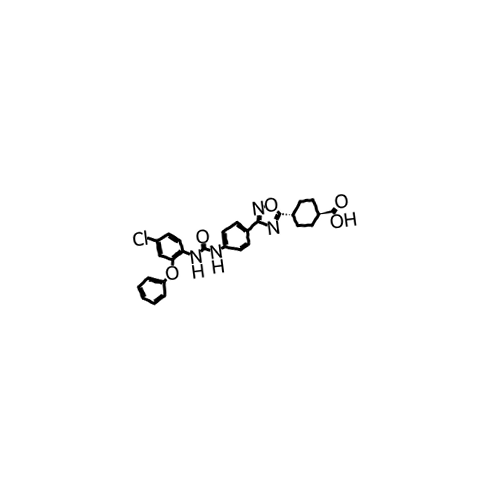 O=C(Nc1ccc(-c2noc([C@H]3CC[C@H](C(=O)O)CC3)n2)cc1)Nc1ccc(Cl)cc1Oc1ccccc1